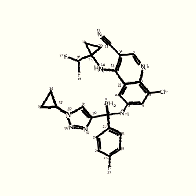 BC(Nc1cc(Cl)c2ncc(C#N)c(NC3(C(F)F)CC3)c2c1)(c1ccc(F)cc1)c1cn(C2CC2)nn1